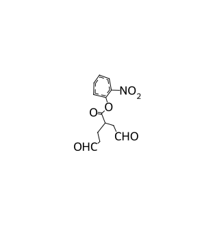 O=CCCC(CC=O)C(=O)Oc1ccccc1[N+](=O)[O-]